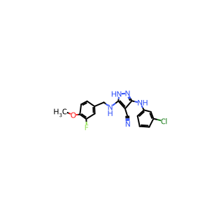 COc1ccc(CNc2[nH]nc(Nc3cccc(Cl)c3)c2C#N)cc1F